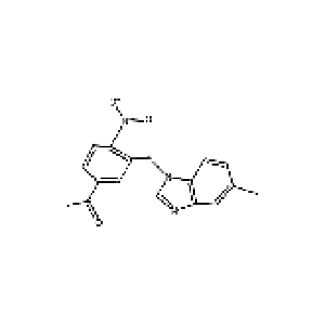 CC(=O)c1ccc([N+](=O)[O-])c(Sn2cnc3cc(C)ccc32)c1